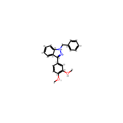 COc1ccc(-c2nn(Cc3ccccc3)c3ccccc23)cc1OC